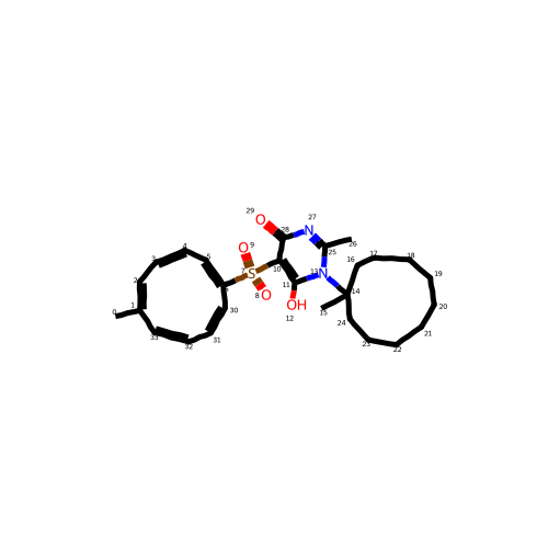 Cc1ccccc(S(=O)(=O)c2c(O)n(C3(C)CCCCCCCCC3)c(C)nc2=O)cccc1